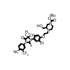 CCc1cc(N2C(=S)N(c3ccc(C#N)c(C(F)(F)F)c3)C(=O)C2(C)C)ccc1OCCN1CCN(C(=O)OC(C)(C)C)CC1CO